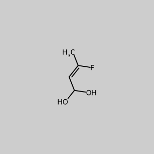 CC(F)=CC(O)O